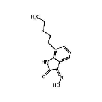 CCCCCc1cccc2c1NC(=O)C2=NO